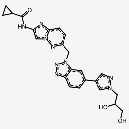 O=C(Nc1cn2nc(Cn3nnc4ccc(-c5cnn(CC(O)CO)c5)cc43)ccc2n1)C1CC1